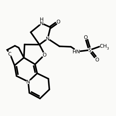 CS(=O)(=O)NCCN1C(=O)NCC12CC13CCCCC1=CN1C=CCCC1=C3O2